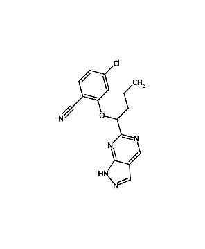 CCCC(Oc1cc(Cl)ccc1C#N)c1ncc2cn[nH]c2n1